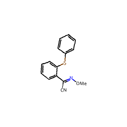 CON=C(C#N)c1ccccc1Sc1ccccc1